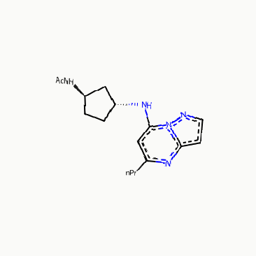 CCCc1cc(N[C@@H]2CC[C@@H](NC(C)=O)C2)n2nccc2n1